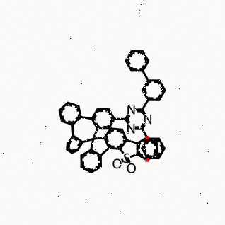 O=S1(=O)c2ccccc2-c2ccc3c(c21)-c1ccccc1C31c2ccccc2-c2ccccc2-c2ccc(-c3nc(-c4ccccc4)nc(-c4cccc(-c5ccccc5)c4)n3)cc21